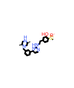 C[C@H]1CN(Cc2cccc(-c3ccnc(NCCc4ccc([S+](C)[O-])c(O)c4)n3)c2)[C@@H](C)CN1